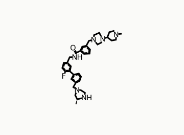 C[C@H]1CN(Cc2cccc(-c3cc(CNC(=O)c4cccc(CN5CCN(C6CCN(C)CC6)CC5)c4)ccc3F)c2)CCN1